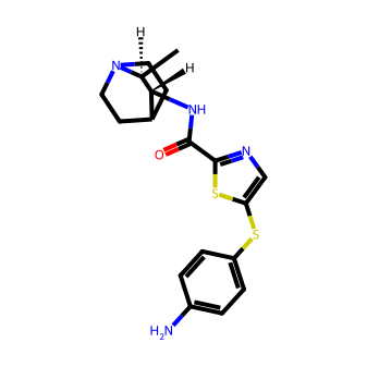 C[C@H]1[C@H](NC(=O)c2ncc(Sc3ccc(N)cc3)s2)C2CCN1CC2